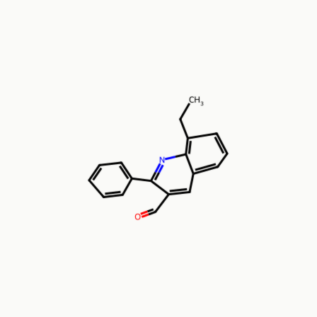 CCc1cccc2cc(C=O)c(-c3ccccc3)nc12